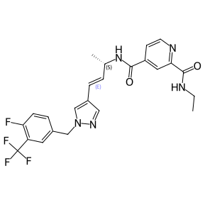 CCNC(=O)c1cc(C(=O)N[C@@H](C)/C=C/c2cnn(Cc3ccc(F)c(C(F)(F)F)c3)c2)ccn1